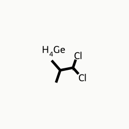 CC(C)[C](Cl)Cl.[GeH4]